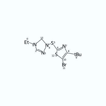 CCN1C=NN(Sc2nc(C(C)(C)C)c(Br)s2)C1